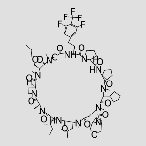 CCCOC[C@H]1C(=O)N(C)CC(=O)N[C@@H](CCc2cc(F)c(C(F)(F)F)c(F)c2)C(=O)N2CCC[C@H]2C(=O)NC2(CCCC2)C(=O)N(C)C(C2CCCC2)C(=O)N(C)[C@H](C(=O)N2C3CCC2COC3)CC(=O)N(C)[C@@H](CC(C)C)C(=O)N[C@@H]([C@@H](C)CC)C(=O)N(C)[C@@H](C)C(=O)N2CC[C@H]2C(=O)N1C